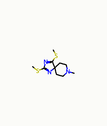 CSC1=NC2(CCN(C)CC2)C(SC)=N1